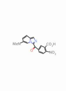 CNc1ccc2cnc(C(=O)c3ccc([N+](=O)[O-])c(C(=O)O)c3)n2c1